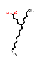 CCCCCCCCCC(CCCCC)CCCC(=O)O